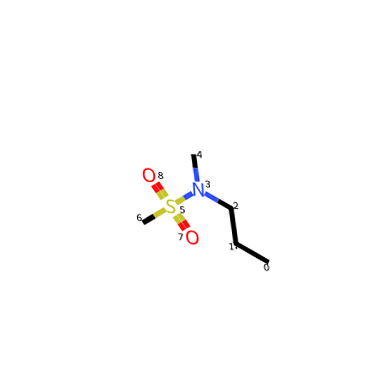 C[CH]CN(C)S(C)(=O)=O